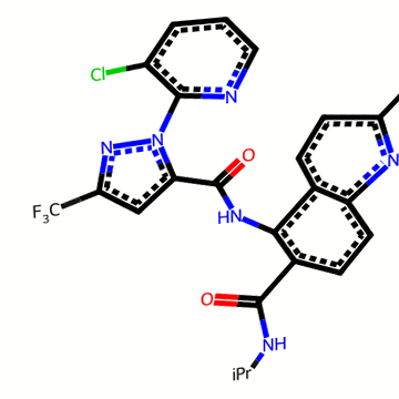 Cc1ccc2c(NC(=O)c3cc(C(F)(F)F)nn3-c3ncccc3Cl)c(C(=O)NC(C)C)ccc2n1